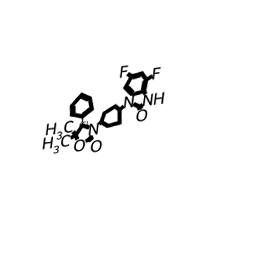 CC1(C)OC(=O)N(C2CCC(n3c(=O)[nH]c4c(F)cc(F)cc43)CC2)[C@H]1c1ccccc1